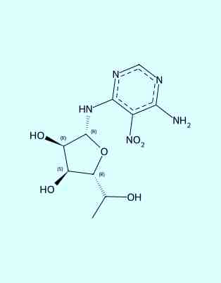 CC(O)[C@H]1O[C@@H](Nc2ncnc(N)c2[N+](=O)[O-])[C@H](O)[C@@H]1O